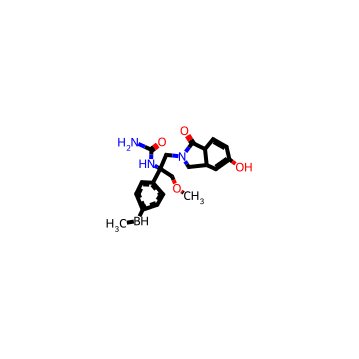 CBc1ccc(C(COC)(CN2CC3C=C(O)C=CC3C2=O)NC(N)=O)cc1